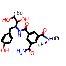 CCCCC(O)C(O)C(Cc1ccc(O)cc1)NC(=O)c1cc(C(N)=O)cc(C(=O)N(CCC)CCC)c1